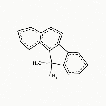 CC1(C)c2ccccc2-c2ccc3ccc[c]c3c21